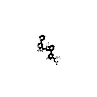 CN(C)CC(N)c1cc(F)cc(-c2cccc3[nH]c(-c4n[nH]c5ncc(-c6ccccn6)cc45)cc23)c1